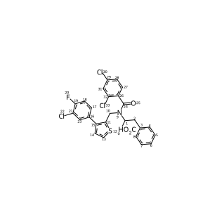 O=C(O)C(Cc1ccccc1)N(Cc1sccc1-c1ccc(F)c(Cl)c1)C(=O)c1ccc(Cl)cc1Cl